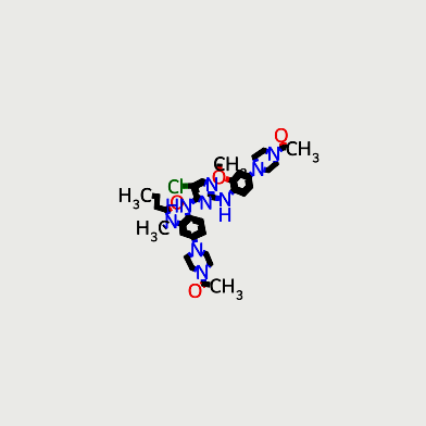 CCCC(=O)N(C)c1cc(N2CCN(C(C)=O)CC2)ccc1Nc1nc(Nc2ccc(N3CCN(C(C)=O)CC3)cc2OC)ncc1Cl